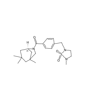 CN1CCN(Cc2ccc(C(=O)N3CC4(C)C[C@H]3CC(C)(C)C4)cc2)S1(=O)=O